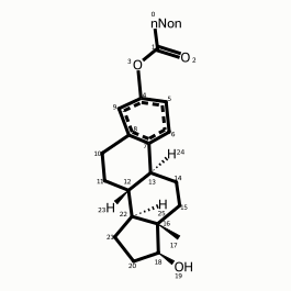 CCCCCCCCCC(=O)Oc1ccc2c(c1)CC[C@@H]1[C@@H]2CC[C@]2(C)[C@@H](O)CC[C@@H]12